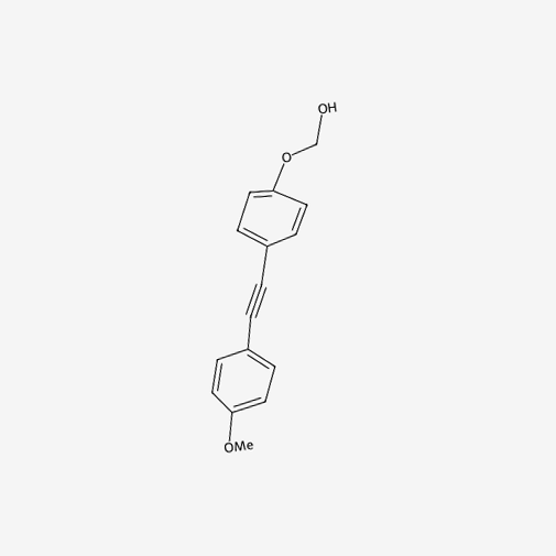 COc1ccc(C#Cc2ccc(OCO)cc2)cc1